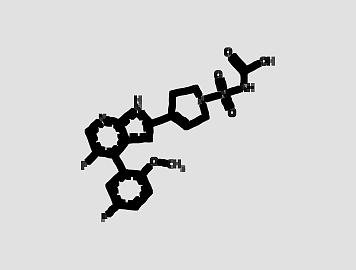 COc1ccc(F)cc1-c1c(F)cnc2[nH]c(C3=CCN(S(=O)(=O)NC(=O)O)CC3)cc12